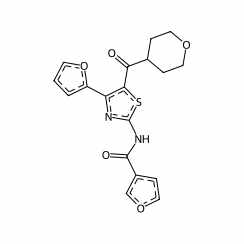 O=C(Nc1nc(-c2ccco2)c(C(=O)C2CCOCC2)s1)c1ccoc1